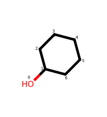 OC1C[CH]CCC1